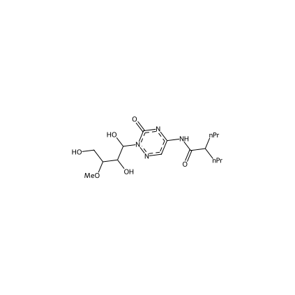 CCCC(CCC)C(=O)Nc1cnn(C(O)C(O)C(CO)OC)c(=O)n1